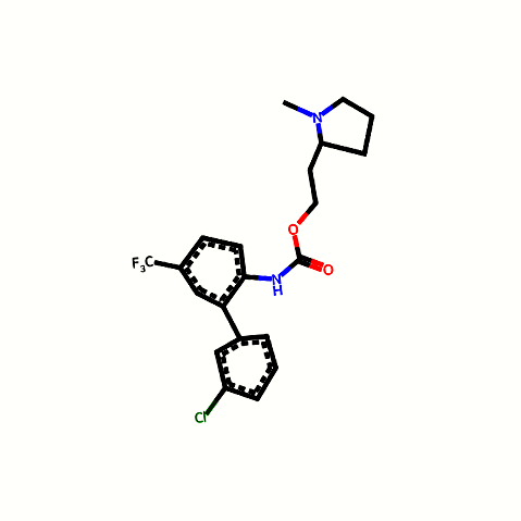 CN1CCCC1CCOC(=O)Nc1ccc(C(F)(F)F)cc1-c1cccc(Cl)c1